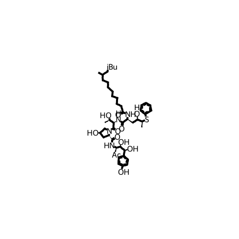 CCC(C)CC(C)CCCCCCCCC(=O)N[C@@H](C[C@@H](O)[C@H](C)Sc1ccccc1)C(=O)N[C@H](C(=O)N1C[C@H](O)C[C@H]1C(=O)N[C@H](C(C)=O)[C@H](O)[C@@H](O)c1ccc(O)cc1)[C@@H](C)O